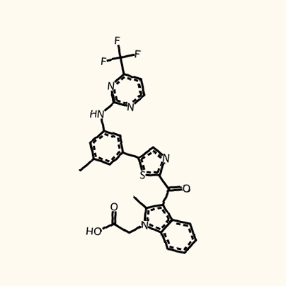 Cc1cc(Nc2nccc(C(F)(F)F)n2)cc(-c2cnc(C(=O)c3c(C)n(CC(=O)O)c4ccccc34)s2)c1